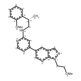 COCCn1ncc2cc(-c3cc(NC[C@@H](C)c4ccccc4OC)ncn3)cnc21